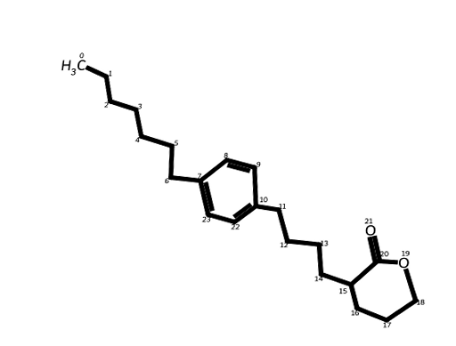 CCCCCCCc1ccc(CCCCC2CCCOC2=O)cc1